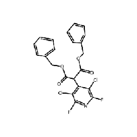 O=C(OCc1ccccc1)C(C(=O)OCc1ccccc1)c1c(Cl)c(F)nc(F)c1Cl